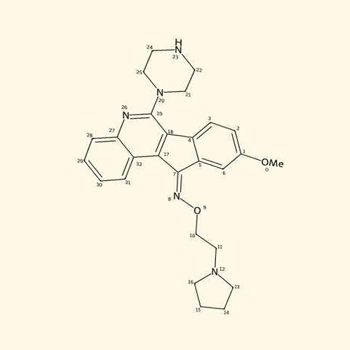 COc1ccc2c(c1)C(=NOCCN1CCCC1)c1c-2c(N2CCNCC2)nc2ccccc12